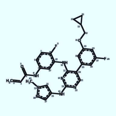 C=CC(=O)Nc1ccc(F)c(Nc2nc(Nc3cnn(C)c3)ncc2-c2cc(F)cc(OCC3CC3)c2)c1